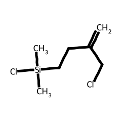 C=C(CCl)CC[Si](C)(C)Cl